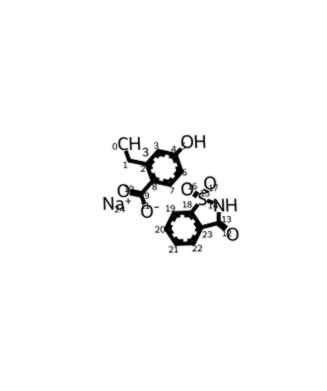 CCc1cc(O)ccc1C(=O)[O-].O=C1NS(=O)(=O)c2ccccc21.[Na+]